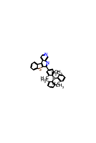 Cc1cccc(C)c1B(c1c(C)cccc1C)c1c(C)cc(-c2nc3cnccc3c3c2sc2ccccc23)cc1C